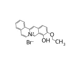 CCOc1ccc2cc3c4ccccc4cc[n+]3cc2c1O.[Br-]